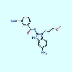 COCCCn1/c(=N/C(=O)c2cccc(C#N)c2)[nH]c2cc(N)ccc21